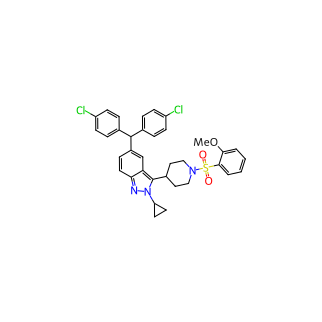 COc1ccccc1S(=O)(=O)N1CCC(c2c3cc(C(c4ccc(Cl)cc4)c4ccc(Cl)cc4)ccc3nn2C2CC2)CC1